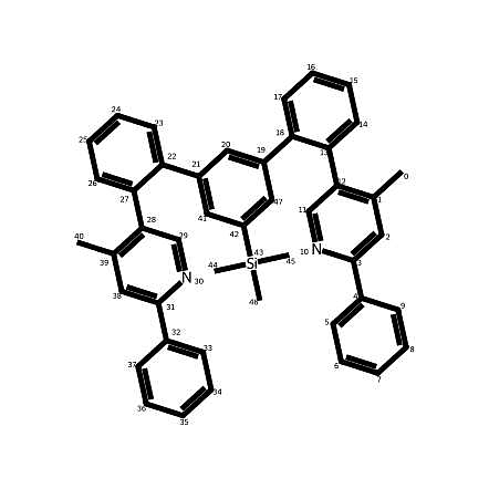 Cc1cc(-c2ccccc2)ncc1-c1ccccc1-c1cc(-c2ccccc2-c2cnc(-c3ccccc3)cc2C)cc([Si](C)(C)C)c1